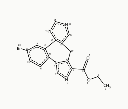 CCOC(=O)c1ncn2c1Cc1cncnc1-c1cc(Br)ccc1-2